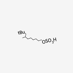 CC(CCCCCCOS(=O)(=O)O)CC(C)(C)C